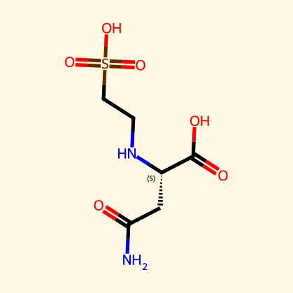 NC(=O)C[C@H](NCCS(=O)(=O)O)C(=O)O